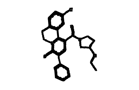 CCOC1CCN(C(=O)c2cc(-c3ccccc3)c(=O)n3c2-c2cc(Cl)ccc2CC3)C1